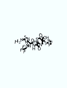 Nc1nc(C(=NOCC(F)(F)F)C(=O)NC2C(=O)N3CC(CSc4nncs4)(C(=O)O)CS[C@H]23)ns1